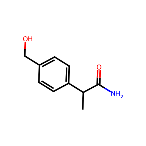 CC(C(N)=O)c1ccc(CO)cc1